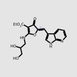 CCOC(=O)C1=C(NCC(O)CO)O/C(=C\c2c[nH]c3ncccc23)C1=O